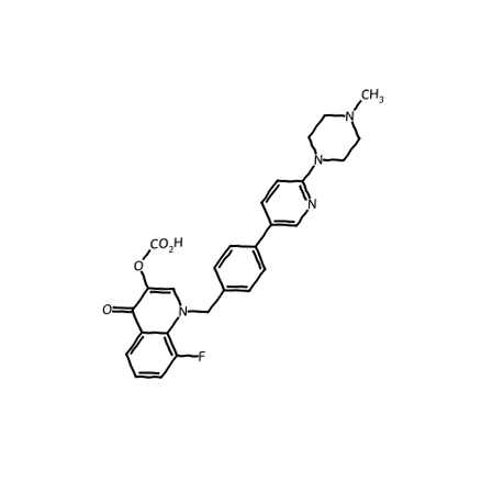 CN1CCN(c2ccc(-c3ccc(Cn4cc(OC(=O)O)c(=O)c5cccc(F)c54)cc3)cn2)CC1